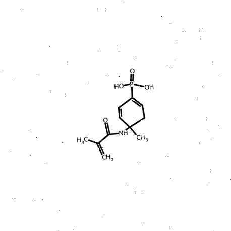 C=C(C)C(=O)NC1(C)C=CC(P(=O)(O)O)=CC1